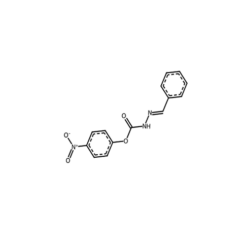 O=C(N/N=C/c1ccccc1)Oc1ccc([N+](=O)[O-])cc1